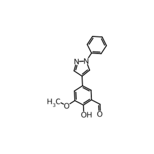 COc1cc(-c2cnn(-c3ccccc3)c2)cc(C=O)c1O